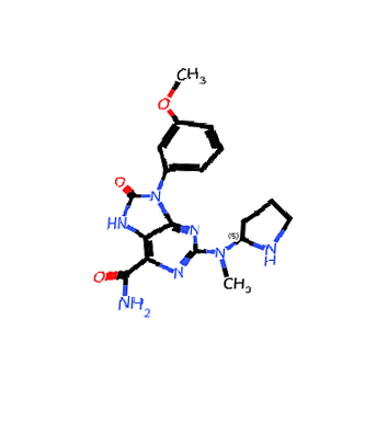 COc1cccc(-n2c(=O)[nH]c3c(C(N)=O)nc(N(C)[C@H]4CCCN4)nc32)c1